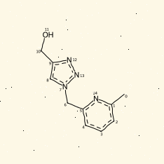 Cc1cccc(Cn2cc(CO)nn2)n1